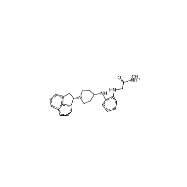 CNC(=O)CNc1ccccc1NC1CCN([C@@H]2Cc3cccc4cccc2c34)CC1